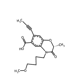 CC#Cc1cc2c(cc1C(=O)O)N(CCCCOC)C(=O)[C@@H](C)O2